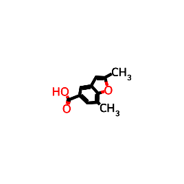 Cc1cc2cc(C(=O)O)cc(C)c2o1